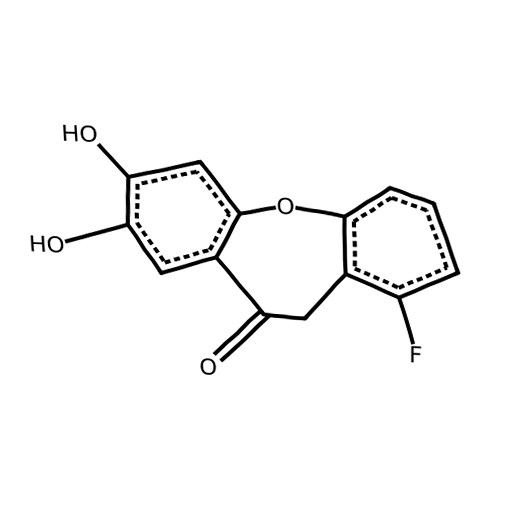 O=C1Cc2c(F)cccc2Oc2cc(O)c(O)cc21